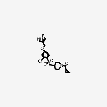 NC/C(=C\F)COc1ccc(S(=O)(=O)CC2CCN(C(=O)C3CC3)CC2)c(Cl)c1